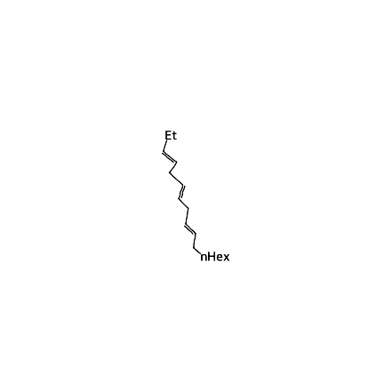 [CH2]CCCCCCC=CCC=CCC=CCC